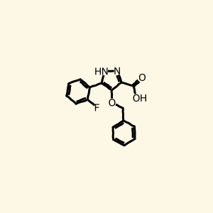 O=C(O)c1n[nH]c(-c2ccccc2F)c1OCc1ccccc1